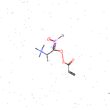 C=CC(=O)OO/C(C(C)[N+](C)(C)C)=[P+](/[O-])CC